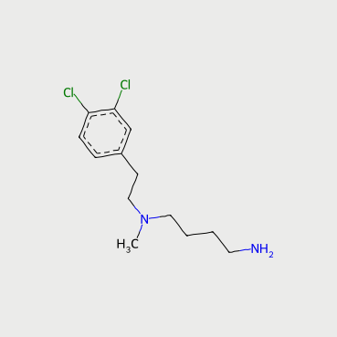 CN(CCCCN)CCc1ccc(Cl)c(Cl)c1